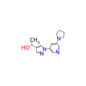 CC(O)c1cnn(-c2cncc(N3CCCC3)c2)c1